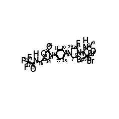 CC(=O)NC(N1CCN(c2ccc(N3CC(CNC(=O)C(F)(F)F)OC3=O)cc2)C[C@@H]1F)C(Br)(Br)Br